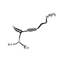 CCCCCCC#CC(=O)N(CC)CC